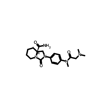 CN(C)CC(=O)N(C)c1ccc(N2C[C@@]3(C(N)=O)[CH]CCCN3C2=O)cc1